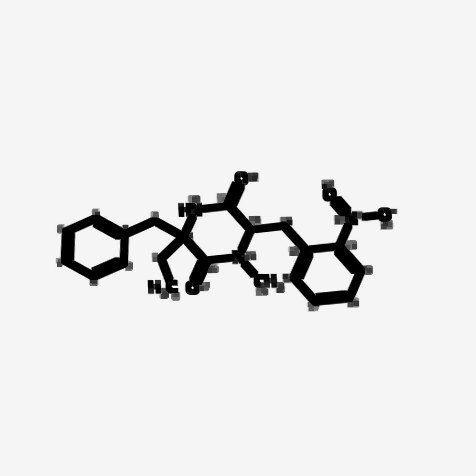 CCC1(Cc2ccccc2)NC(=O)C(Cc2ccccc2[N+](=O)[O-])N(C)C1=O